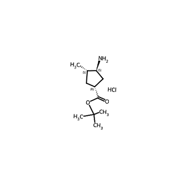 C[C@H]1C[C@@H](C(=O)OC(C)(C)C)C[C@@H]1N.Cl